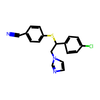 N#Cc1ccc(SC(Cn2ccnc2)c2ccc(Cl)cc2)cc1